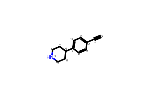 C#Cc1ccc(C2CCNCC2)cc1